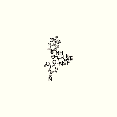 COc1cc(C#N)ccc1Oc1nnc(C(F)(F)F)cc1C(=O)Nc1cc(S(C)(=O)=O)ccc1F